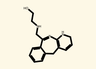 OCCNCC1=NC2=C(C=CCN2)Cc2ccccc21